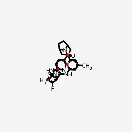 Cc1cc(Nc2cc(C)[nH]n2)nc(N2CC3CCC(C2)N3C(=O)c2ccc(-n3cc(F)cn3)nn2)c1